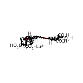 O=C(O)CC[C@H](NC(=O)N[C@@H](CCCCNC(=O)CCCCCCCCCCN1CCN(c2nc(Nc3ccc(CC4CN(CC(=O)O)CCN(CC(=O)O)CCN(CC(=O)O)CCN4CC(=O)O)cc3)nc(N3CCN(CC(=O)O)CC3)n2)CC1)C(=O)O)C(=O)O.[Lu+3]